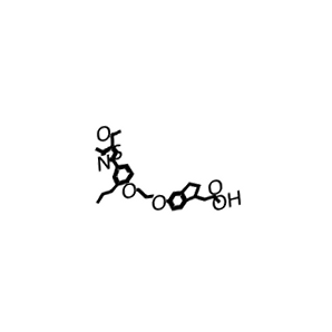 CCCc1cc(-c2nc(C)c(C(C)=O)s2)ccc1OCCCOc1ccc2c(c1)CCC2CC(=O)O